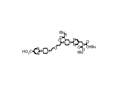 CC(C)(C)OC(=O)[C@H]1CN(c2ncc(CN(C(=O)OC(C)(C)C)C(=O)OC(C)(C)C)cn2)CCN1C(=O)CCOCCN1CCN(c2ncc(C(=O)O)cn2)CC1